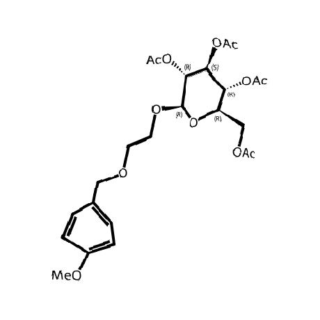 COc1ccc(COCCO[C@@H]2O[C@H](COC(C)=O)[C@@H](OC(C)=O)[C@H](OC(C)=O)[C@H]2OC(C)=O)cc1